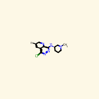 CCc1cnc2c(N[C@@H]3CCCN(C)C3)nnc(Cl)c2c1